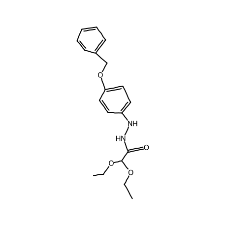 CCOC(OCC)C(=O)NNc1ccc(OCc2ccccc2)cc1